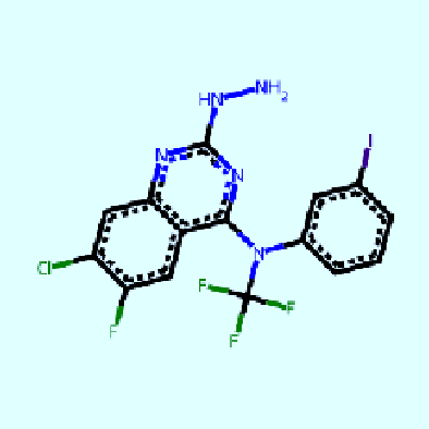 NNc1nc(N(c2cccc(I)c2)C(F)(F)F)c2cc(F)c(Cl)cc2n1